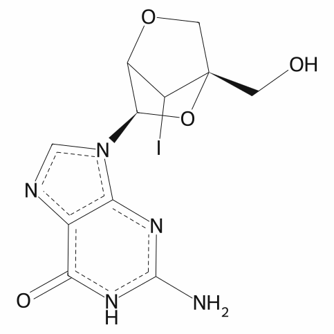 Nc1nc2c(ncn2[C@@H]2O[C@@]3(CO)COC2C3I)c(=O)[nH]1